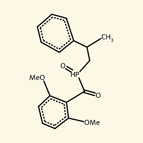 COc1cccc(OC)c1C(=O)[PH](=O)CC(C)c1ccccc1